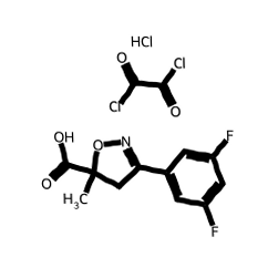 CC1(C(=O)O)CC(c2cc(F)cc(F)c2)=NO1.Cl.O=C(Cl)C(=O)Cl